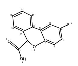 O=C(O)C1Oc2ccc(F)cc2-c2ccccc21